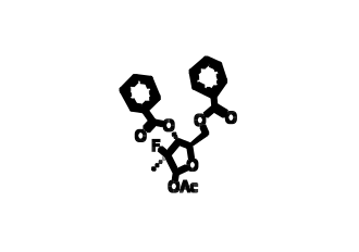 CC(=O)OC1O[C@H](COC(=O)c2ccccc2)[C@@H](OC(=O)c2ccccc2)[C@]1(C)F